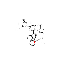 C[C@@H]1CN(c2nc(-c3noc4c3CCC[C@@]43CCCc4sc(N)c(C#N)c43)nc(O[C@@H](C)[C@@H]3C[C@@H](F)CN3C)c2F)CC2(CC2)N1